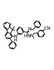 CN(Cc1cccc(C#N)c1)N/C(=N\Cc1ccccc1)c1cccc(Nc2c(-c3ccccc3)ccc3c2C(C)(C)c2ccccc2-3)c1